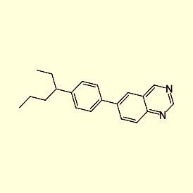 CCCC(CC)c1ccc(-c2ccc3ncncc3c2)cc1